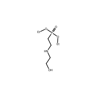 CCOP(=O)(CCNCCO)OCC